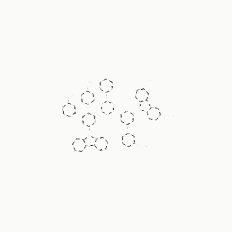 CC(C)(C)c1ccc2c(c1)c1cc(C(C)(C)C)ccc1n2-c1cc(-c2cccc(C#N)c2)cc(-c2nc(-c3cc(-c4cccc(C#N)c4)cc(-n4c5ccc(C(C)(C)C)cc5c5cc(C(C)(C)C)ccc54)c3)nc(-c3ccccc3-c3ccccc3C#N)n2)c1